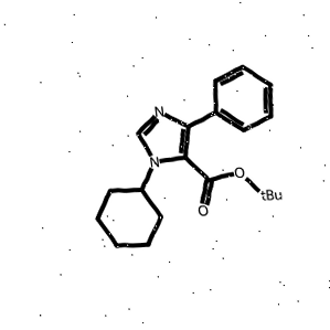 CC(C)(C)OC(=O)c1c(-c2ccccc2)ncn1C1CCCCC1